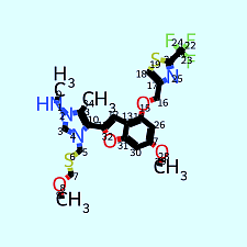 CNN1CN(CSCOC)C(c2cc3c(OCc4csc(C(F)(F)F)n4)cc(OC)cc3o2)=C1C